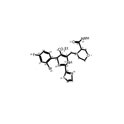 CCOC(=O)C1=C(CN2CCOCC2C(=O)NC)NC(c2nccs2)=NC1c1ccc(F)cc1Br